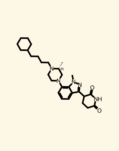 C[C@@H]1CN(c2cccc3c(C4CCC(=O)NC4=O)nn(C)c23)CCN1CCCCC1CCCCC1